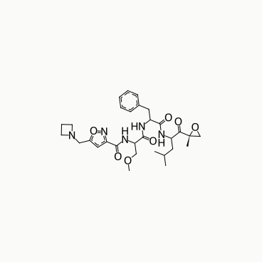 COCC(NC(=O)c1cc(CN2CCC2)on1)C(=O)NC(Cc1ccccc1)C(=O)NC(CC(C)C)C(=O)[C@@]1(C)CO1